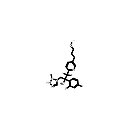 CCOCCCc1ccc(C(F)(F)C(O)(CN2C=NNN2C)c2ccc(F)cc2F)nc1